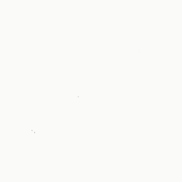 CCCCCCCCCCCCOC(=O)CCCCCCCC=O